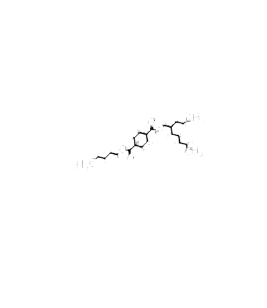 CCCCCOC(=O)C1CCC(C(=O)OCC(CCC)CCCCC)CC1